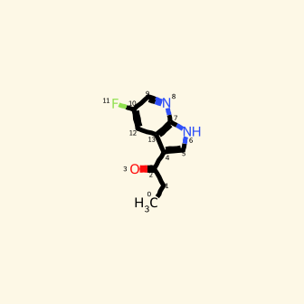 CCC(=O)c1c[nH]c2ncc(F)cc12